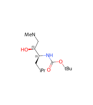 CNC[C@H](O)[C@H](CC(C)C)NC(=O)OC(C)(C)C